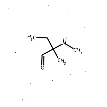 CCC(C)(C=O)NC